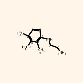 Cc1ccc(NCCN)c(C)c1C